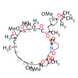 CO[C@H]1C[C@@H]2CC[C@@H](C)[C@@](O)(O2)C(=O)C(=O)N2CCCC[C@H]2C(=O)OC([C@H](C)C[C@@H]2CC[C@@H](O[Si](C)(C)C)[C@H](OC)C2)CC(=O)[C@H](C)/C=C(\C)[C@@H](ON=O)[C@@H](OC)C(=O)[C@H](C)C[C@H](C)/C=C/C=C/C=C/1C